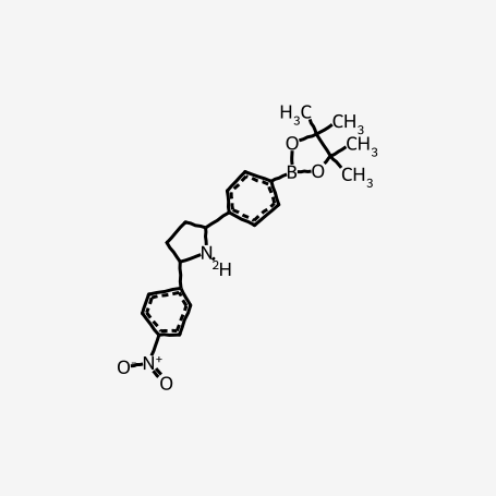 [2H]N1C(c2ccc(B3OC(C)(C)C(C)(C)O3)cc2)CCC1c1ccc([N+](=O)[O-])cc1